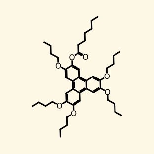 CCCCCCC(=O)Oc1cc2c3cc(OCCCC)c(OCCCC)cc3c3cc(OCCCC)c(OCCCC)cc3c2cc1OCCCC